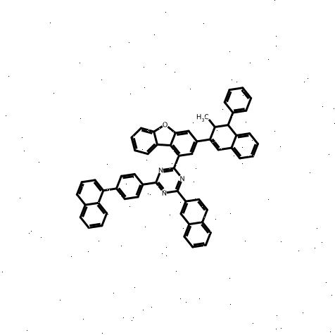 CC1C(c2cc(-c3nc(-c4ccc(-c5cccc6ccccc56)cc4)nc(-c4ccc5ccccc5c4)n3)c3c(c2)oc2ccccc23)=Cc2ccccc2C1c1ccccc1